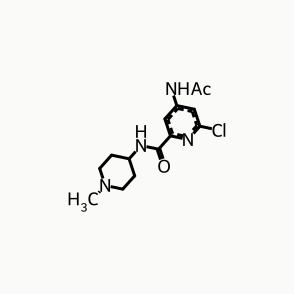 CC(=O)Nc1cc(Cl)nc(C(=O)NC2CCN(C)CC2)c1